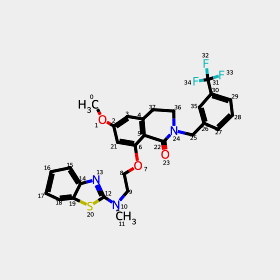 COc1cc2c(c(OCCN(C)c3nc4ccccc4s3)c1)C(=O)N(Cc1cccc(C(F)(F)F)c1)CC2